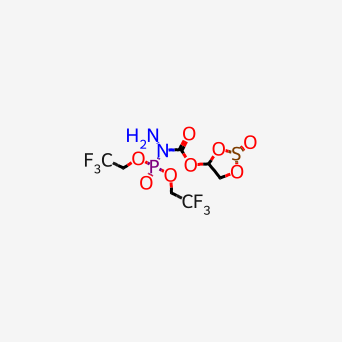 NN(C(=O)OC1COS(=O)O1)P(=O)(OCC(F)(F)F)OCC(F)(F)F